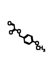 COc1ccc(COC(=O)C=O)cc1